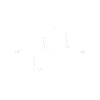 CCCC(OC)c1ccc[n+](O)c1